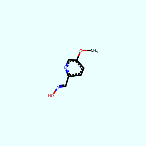 COc1ccc(/C=N/O)nc1